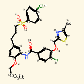 CCOC(=O)COc1ccc(CCCS(=O)(=O)c2ccc(Cl)cc2)cc1NC(=O)c1ccc(Cl)c(OCc2nc(C(C)(C)C)cs2)c1